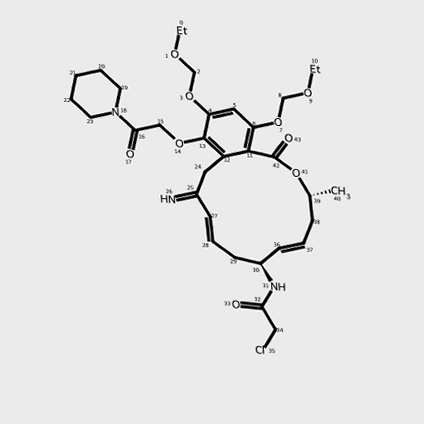 CCOCOc1cc(OCOCC)c2c(c1OCC(=O)N1CCCCC1)CC(=N)/C=C/C[C@H](NC(=O)CCl)/C=C/C[C@@H](C)OC2=O